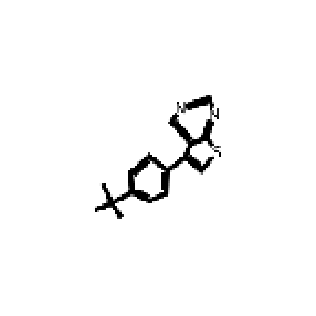 CC(C)(C)c1ccc(-c2csc3ncncc23)cc1